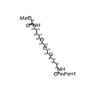 CCCCCC(=O)NCCCCCOCCOCCOCCCCCNC(=O)COC